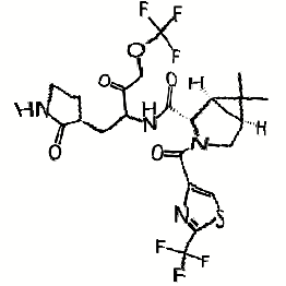 CC1(C)[C@@H]2[C@@H](C(=O)NC(C[C@@H]3CCNC3=O)C(=O)COC(F)(F)F)N(C(=O)c3csc(C(F)(F)F)n3)C[C@@H]21